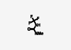 CNC(=O)NC(F)(F)F